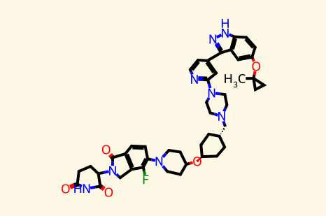 CC1(Oc2ccc3[nH]nc(-c4ccnc(N5CCN(C[C@H]6CC[C@H](OC7CCN(c8ccc9c(c8F)CN(C8CCC(=O)NC8=O)C9=O)CC7)CC6)CC5)c4)c3c2)CC1